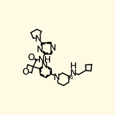 O=C(Nc1cncc(N2CCCC2)n1)C1(c2ccc(N3CCC[C@@H](NCC4CCC4)C3)cn2)COC1